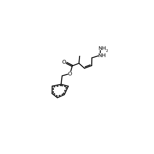 CC(/C=C\CNN)C(=O)OCc1ccccc1